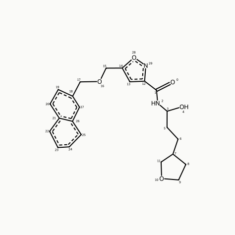 O=C(NC(O)CCC1CCOC1)c1cc(COCc2ccc3ccccc3c2)on1